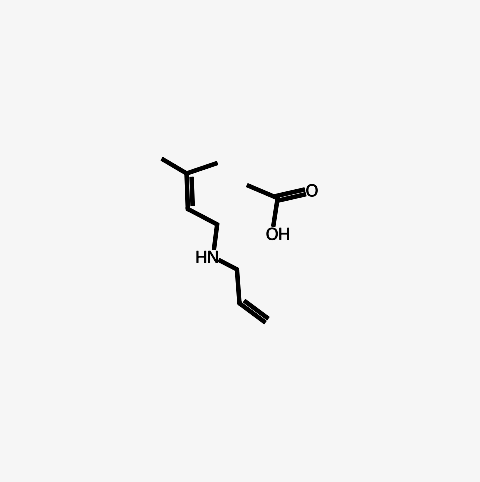 C=CCNCC=C(C)C.CC(=O)O